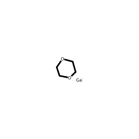 C1COCCO1.[Ga]